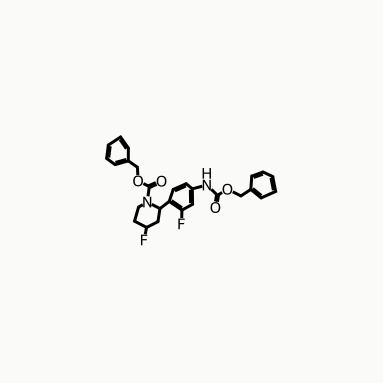 O=C(Nc1ccc(C2CC(F)CCN2C(=O)OCc2ccccc2)c(F)c1)OCc1ccccc1